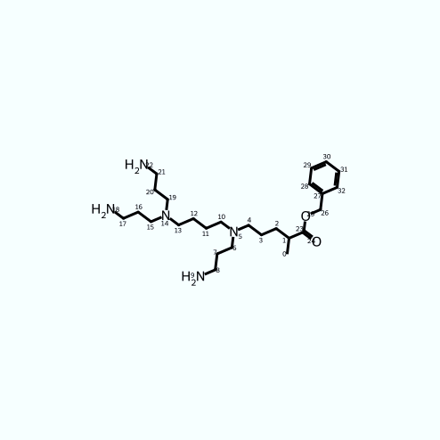 CC(CCCN(CCCN)CCCCN(CCCN)CCCN)C(=O)OCc1ccccc1